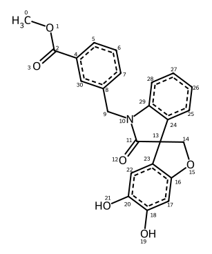 COC(=O)c1cccc(CN2C(=O)C3(COc4cc(O)c(O)cc43)c3ccccc32)c1